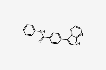 O=C(Nc1ccccc1)c1ccc(-c2c[nH]c3ncccc23)cc1